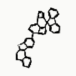 c1ccc2c(c1)-c1ccccc1C21c2ccccc2-c2ccc(-c3ccc4c(c3)oc3ccc5ccccc5c34)c3cccc1c23